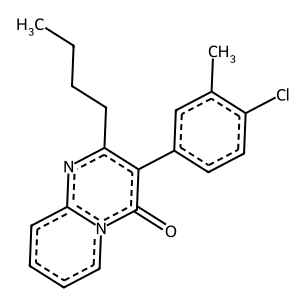 CCCCc1nc2ccccn2c(=O)c1-c1ccc(Cl)c(C)c1